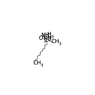 CCCCCCCCCCCC(SNC(N)=O)C(C)CC